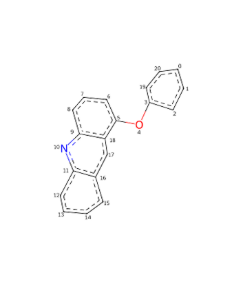 c1ccc(Oc2cccc3nc4ccccc4cc23)cc1